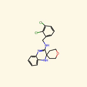 Clc1cccc(CNC2=Nc3ccccc3NC23CCOCC3)c1Cl